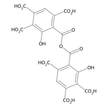 O=C(O)c1cc(C(=O)O)c(C(=O)OC(=O)c2c(C(=O)O)cc(C(=O)O)c(C(=O)O)c2O)c(O)c1C(=O)O